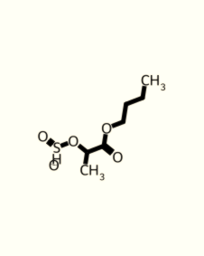 CCCCOC(=O)C(C)O[SH](=O)=O